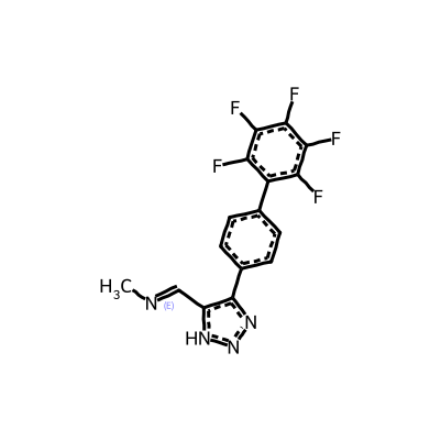 C/N=C/c1[nH]nnc1-c1ccc(-c2c(F)c(F)c(F)c(F)c2F)cc1